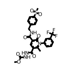 COC(=O)NNC(=O)c1cc(C(=O)NCc2ccc(S(C)(=O)=O)cc2)c(=O)n(-c2cccc(C(F)(F)F)c2)c1C